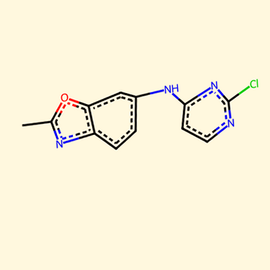 Cc1nc2ccc(Nc3ccnc(Cl)n3)cc2o1